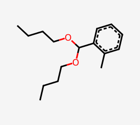 CCCCOC(OCCCC)c1ccccc1C